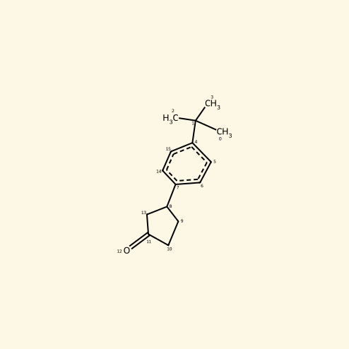 CC(C)(C)c1ccc(C2CCC(=O)C2)cc1